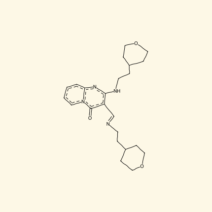 O=c1c(C=NCCC2CCOCC2)c(NCCC2CCOCC2)nc2ccccn12